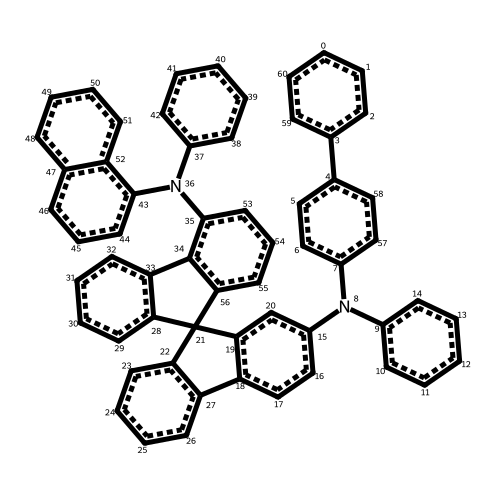 c1ccc(-c2ccc(N(c3ccccc3)c3ccc4c(c3)C3(c5ccccc5-4)c4ccccc4-c4c(N(c5ccccc5)c5cccc6ccccc56)cccc43)cc2)cc1